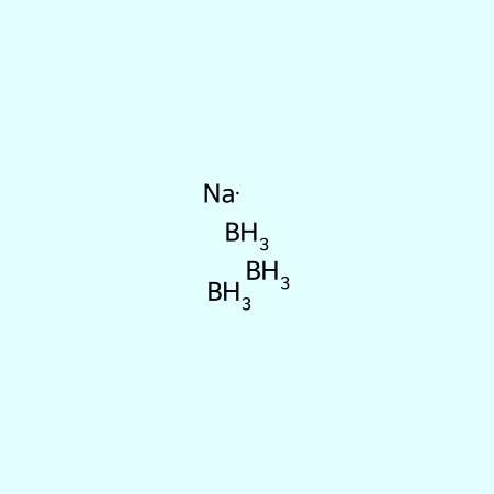 B.B.B.[Na]